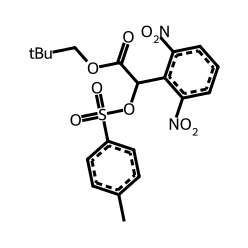 Cc1ccc(S(=O)(=O)OC(C(=O)OCC(C)(C)C)c2c([N+](=O)[O-])cccc2[N+](=O)[O-])cc1